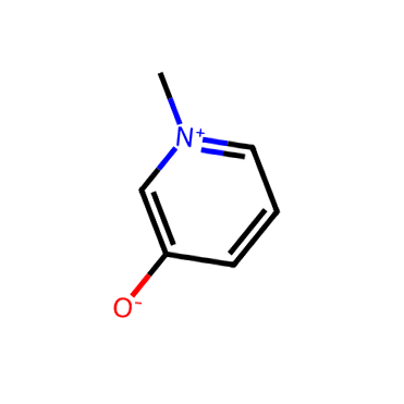 C[n+]1cccc([O-])c1